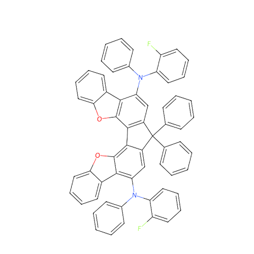 Fc1ccccc1N(c1ccccc1)c1cc2c(c3oc4ccccc4c13)-c1c(cc(N(c3ccccc3)c3ccccc3F)c3c1oc1ccccc13)C2(c1ccccc1)c1ccccc1